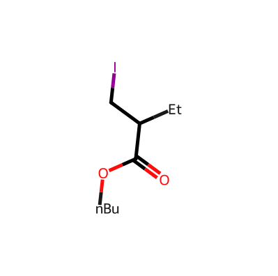 CCCCOC(=O)C(CC)CI